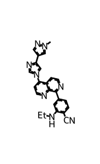 CCNc1cc(-c2nccc3c(-n4cnc(-c5cnn(C)c5)c4)ccnc23)ccc1C#N